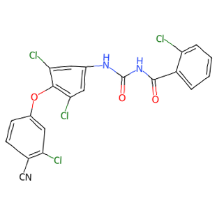 N#Cc1ccc(Oc2c(Cl)cc(NC(=O)NC(=O)c3ccccc3Cl)cc2Cl)cc1Cl